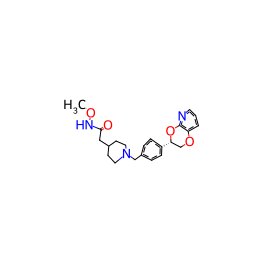 CONC(=O)CC1CCN(Cc2ccc([C@H]3COc4cccnc4O3)cc2)CC1